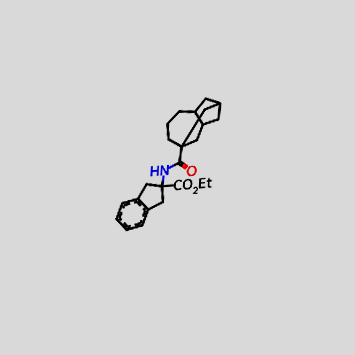 CCOC(=O)C1(NC(=O)C23CCCC4CC(CC4C2)C3)Cc2ccccc2C1